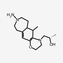 CC1C2=C(C=C3CCN(N)CCC31)OCCN2C[C@H](C)O